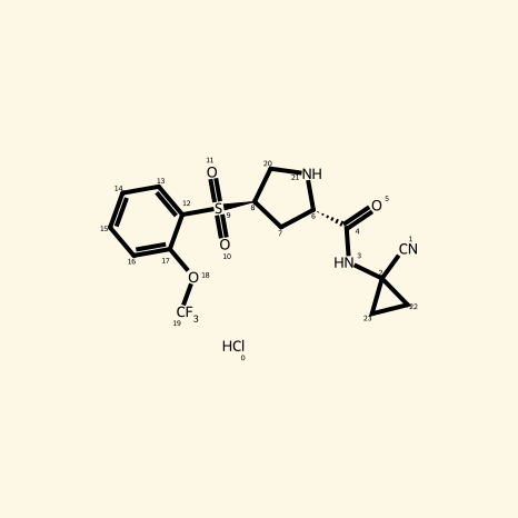 Cl.N#CC1(NC(=O)[C@@H]2C[C@@H](S(=O)(=O)c3ccccc3OC(F)(F)F)CN2)CC1